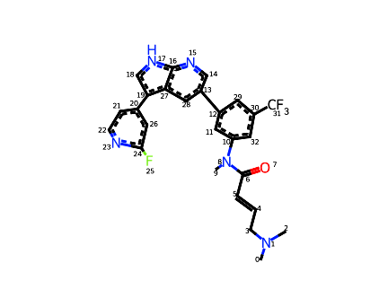 CN(C)C/C=C/C(=O)N(C)c1cc(-c2cnc3[nH]cc(-c4ccnc(F)c4)c3c2)cc(C(F)(F)F)c1